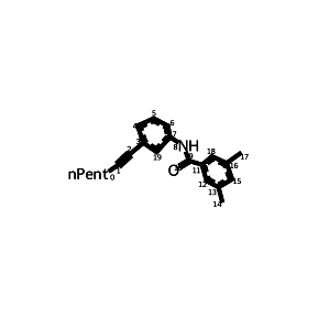 CCCCCC#Cc1cccc(NC(=O)c2cc(C)cc(C)c2)c1